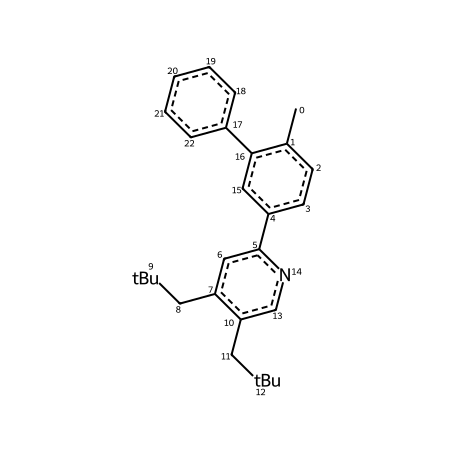 Cc1ccc(-c2cc(CC(C)(C)C)c(CC(C)(C)C)cn2)cc1-c1ccccc1